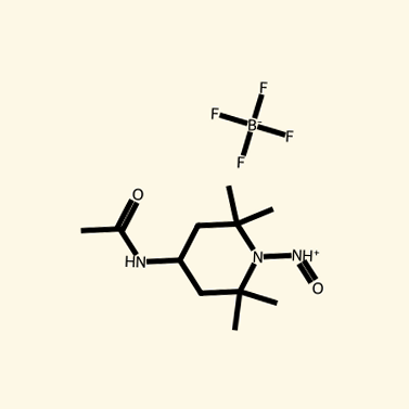 CC(=O)NC1CC(C)(C)N([NH+]=O)C(C)(C)C1.F[B-](F)(F)F